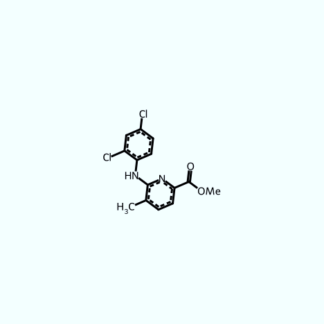 COC(=O)c1ccc(C)c(Nc2ccc(Cl)cc2Cl)n1